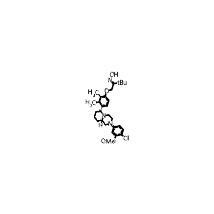 COc1cc(N2CCN3[C@@H](CCC[C@@H]3c3ccc(OCC(=NO)C(C)(C)C)c(C)c3C)C2)ccc1Cl